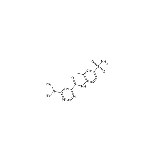 CCCN(c1cc(C(=O)Nc2ccc(S(N)(=O)=O)cc2C)ncn1)C(C)C